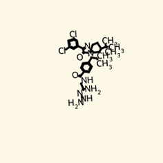 CC(C)C(c1ccc(C(=O)NC/C(N)=N/NN)cc1)N1C(=O)C(c2cc(Cl)cc(Cl)c2)=NC12CCC(C(C)(C)C)CC2